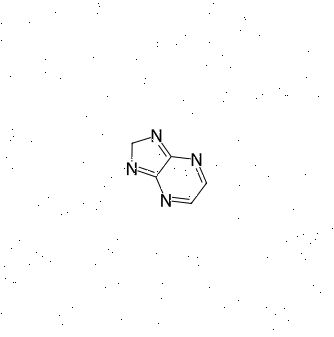 c1cnc2c(n1)=NCN=2